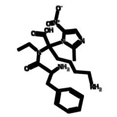 CCN(C(=O)C(N)Cc1ccccc1)C(CCCCN)(C(=O)O)n1c([N+](=O)[O-])cnc1C